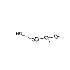 CCCc1ccc(C#Cc2ccc(C#Cc3ccc(OCCCCCCO)cc3)cc2CC)cc1